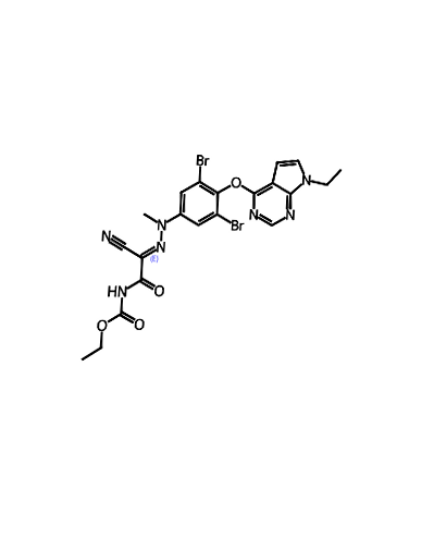 CCOC(=O)NC(=O)/C(C#N)=N/N(C)c1cc(Br)c(Oc2ncnc3c2ccn3CC)c(Br)c1